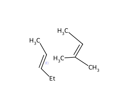 C/C=C/CC.CC=C(C)C